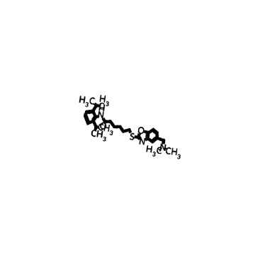 CC(C)c1cccc(C(C)C)c1NC(=O)CCCCCSc1nc2cc(CN(C)C)ccc2o1